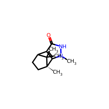 Cn1[nH]c(=O)c2c1[C@@]1(C)CCC2C1(C)C